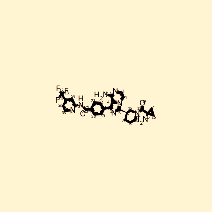 Nc1nccn2c([C@@H]3CCCN(C(=O)C4(N)CC4)C3)nc(-c3ccc(C(=O)Nc4cc(C(F)(F)F)ccn4)cc3)c12